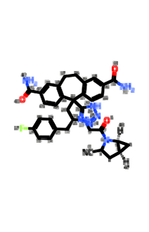 N#CC1C[C@@H]2C[C@@H]2N1C(=O)CN[C@@H](Cc1ccc(F)cc1)CC1(c2nnn[nH]2)c2ccc(C(N)=O)cc2CCc2cc(C(N)=O)ccc21